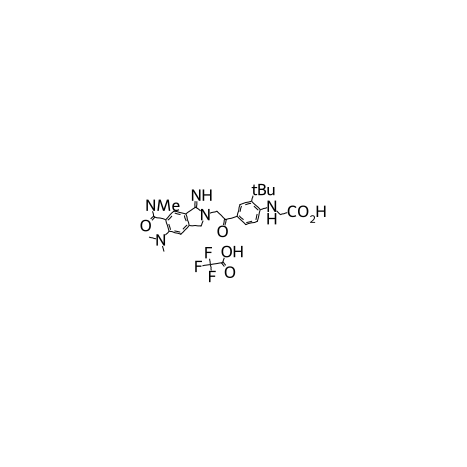 CNC(=O)c1cc2c(cc1N(C)C)CN(CC(=O)c1ccc(NCC(=O)O)c(C(C)(C)C)c1)C2=N.O=C(O)C(F)(F)F